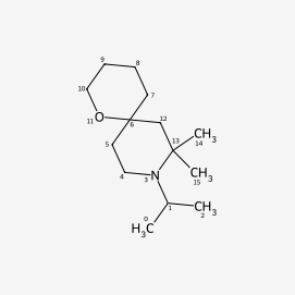 CC(C)N1CCC2(CCCCO2)CC1(C)C